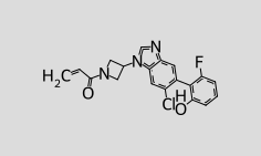 C=CC(=O)N1CC(n2cnc3cc(-c4c(O)cccc4F)c(Cl)cc32)C1